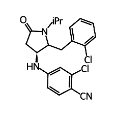 CC(C)N1C(=O)C[C@H](Nc2ccc(C#N)c(Cl)c2)C1Cc1ccccc1Cl